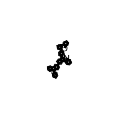 c1ccc(-n2c3ccccc3c3cc(-c4ccc5c(c4)n4c6ccccc6nc4n5-c4ccc(-c5cccc6c5oc5ccccc56)cc4)ccc32)cc1